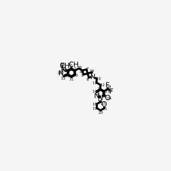 Cc1c(CC2CC3(C2)CN(CCCc2cnn(C4CCCCO4)c(=O)c2C(F)F)C3)ccc2cnn(C)c12